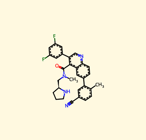 Cc1ccc(C#N)cc1-c1ccc2ncc(-c3cc(F)cc(F)c3)c(C(=O)N(C)C[C@@H]3CCCN3)c2c1